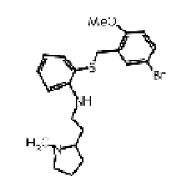 COc1ccc(Br)cc1CSc1ccccc1NCCC1CCCN1C